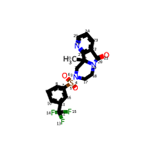 CC12CN(S(=O)(=O)c3cccc(C(F)(F)F)c3)CCN1C(=O)c1cccnc12